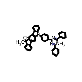 CC1(C)c2ccccc2-c2cc3c(cc21)c1ccccc1n3C1=CCC(C(/N=C(\N)c2ccccc2)/N=C/c2ccccc2)C=C1